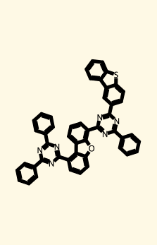 c1ccc(-c2nc(-c3ccc4sc5ccccc5c4c3)nc(-c3cccc4c3oc3cccc(-c5nc(-c6ccccc6)nc(-c6ccccc6)n5)c34)n2)cc1